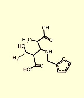 CC(C(=O)O)C(NCc1ccco1)C(C(=O)O)[C@H](C)O